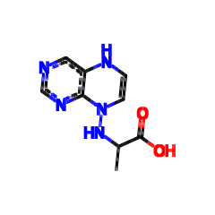 CC(NN1C=CNc2cncnc21)C(=O)O